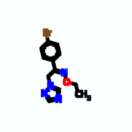 CCON=C(Cn1cncn1)c1ccc(Br)cc1